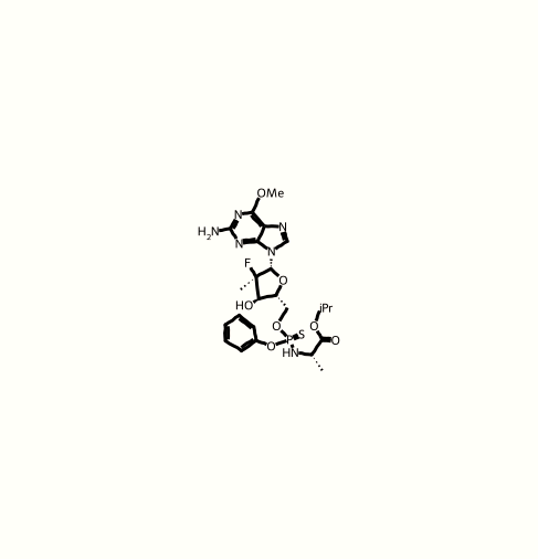 COc1nc(N)nc2c1ncn2[C@@H]1O[C@H](COP(=S)(N[C@@H](C)C(=O)OC(C)C)Oc2ccccc2)[C@@H](O)[C@@]1(C)F